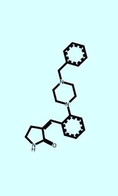 O=C1NCCC1=Cc1ccccc1N1CCN(Cc2ccccc2)CC1